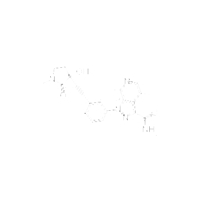 CN1CC[C@@](O)(C#Cc2cccc(-n3nc(C(N)=O)c4ccncc43)c2)C1=O